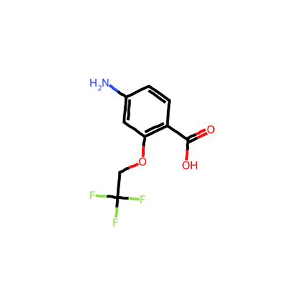 Nc1ccc(C(=O)O)c(OCC(F)(F)F)c1